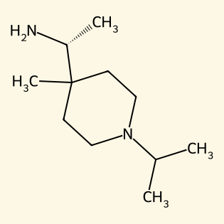 CC(C)N1CCC(C)([C@@H](C)N)CC1